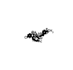 CC(=O)N1CC[C@H]2CC[C@@H](C(=O)N(C)c3ccc(Cl)cc3)N2C(=O)[C@@H](NC(=O)c2cc3cc(C(C)(F)F)ccc3[nH]2)C1